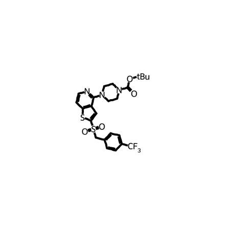 CC(C)(C)OC(=O)N1CCN(c2nccc3sc(S(=O)(=O)Cc4ccc(C(F)(F)F)cc4)cc23)CC1